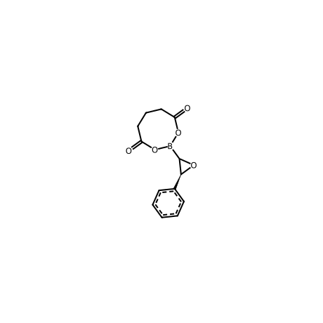 O=C1CCCC(=O)OB(C2O[C@H]2c2ccccc2)O1